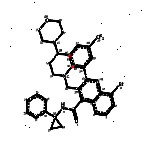 CCc1cccc2c(C(=O)NC3(c4ccccc4)CC3)c(CN3CCC(N4CCOCC4)CC3)c(-c3cccc(C(F)(F)F)c3)nc12